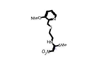 COc1cccnc1CSCCN/C(=C\[N+](=O)[O-])SC